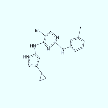 Cc1cccc(Nc2ncc(Br)c(Nc3cc(C4CC4)n[nH]3)n2)c1